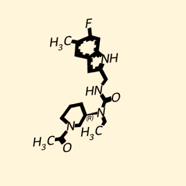 CCN(C(=O)NCc1cc2cc(C)c(F)cc2[nH]1)[C@@H]1CCCN(C(C)=O)C1